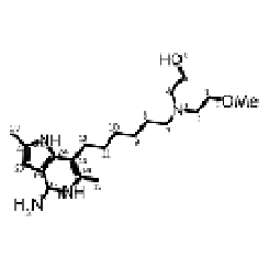 COCCN(CCO)CCCCCCC1=C(C)NC(N)c2cc(C)[nH]c21